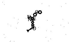 O=C(C#CC1CC1)N1CC2(CC(n3nc(-c4ccc(Oc5ccccc5)cc4)c4cncnc43)C2)C1